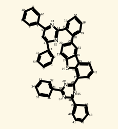 c1ccc(-c2cc(-c3ccccc3)nc(-c3ccccc3-c3ccc4sc5c(-c6nc(-c7ccccc7)nc(-c7ccccc7)n6)cccc5c4c3)n2)cc1